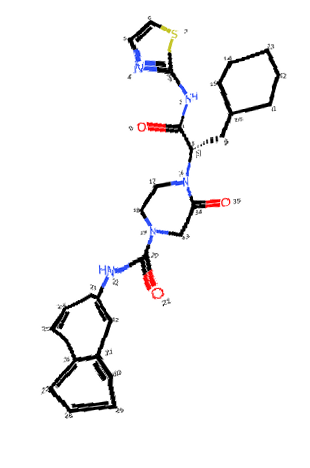 O=C(Nc1nccs1)[C@H](CC1CCCCC1)N1CCN(C(=O)Nc2ccc3ccccc3c2)CC1=O